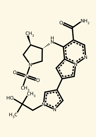 C[C@@H]1CN(S(C)(=O)=O)C[C@H]1Nc1c(C(N)=O)cnn2cc(-c3cnn(CC(C)(C)O)c3)cc12